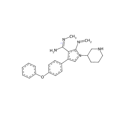 C=Nc1c(/C(N)=N\C)c(-c2ccc(Oc3ccccc3)cc2)cn1C1CCCNC1